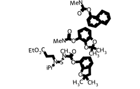 CCOC(=O)CCN(SN(C)C(=O)Oc1cccc2c1OC(C)(C)C2)C(C)C.CNC(=O)Oc1cccc2c1OC(C)(C)O2.CNC(=O)Oc1cccc2ccccc12